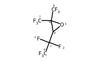 FC(F)(F)C(F)(F)C1OC1(C(F)(F)F)C(F)(F)F